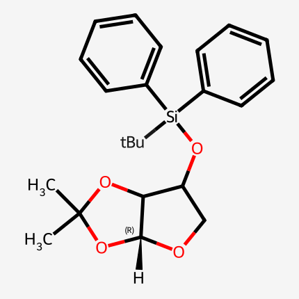 CC1(C)OC2C(O[Si](c3ccccc3)(c3ccccc3)C(C)(C)C)CO[C@@H]2O1